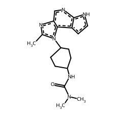 Cc1nc2cnc3[nH]ccc3c2n1C1CCC(NC(=O)N(C)C)CC1